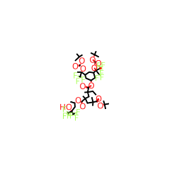 CCC(C)(CC(C)(CC(C)(C)C(=O)OC(C)(C)C)C(=O)OC(C)CC(O)(C(F)(F)F)C(F)(F)F)C(=O)OC1CC(C(C)(OC(=O)OC(C)(C)C)C(F)(F)F)CC(C(OC(=O)OC(C)(C)C)(C(F)(F)F)C(F)(F)F)C1